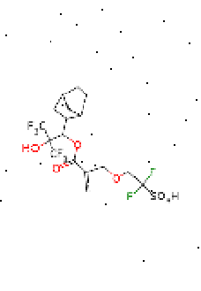 C=C(COCC(F)(F)S(=O)(=O)O)C(=O)OC(C1CC2CCC1C2)C(O)(C(F)(F)F)C(F)(F)F